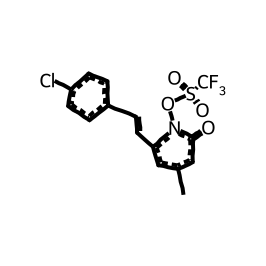 Cc1cc(/C=C/c2ccc(Cl)cc2)n(OS(=O)(=O)C(F)(F)F)c(=O)c1